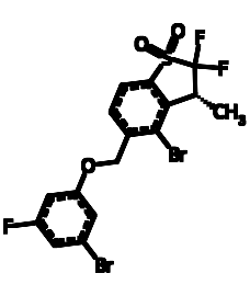 C[C@@H]1c2c(ccc(COc3cc(F)cc(Br)c3)c2Br)S(=O)(=O)C1(F)F